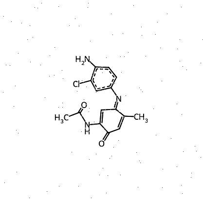 CC(=O)NC1=CC(=Nc2ccc(N)c(Cl)c2)C(C)=CC1=O